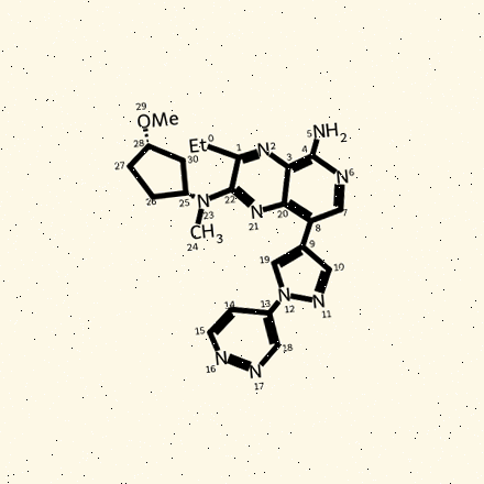 CCc1nc2c(N)ncc(-c3cnn(-c4ccnnc4)c3)c2nc1N(C)[C@@H]1CC[C@H](OC)C1